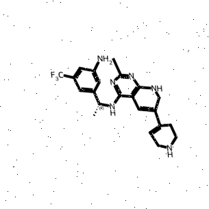 Cc1nc2c(c(N[C@H](C)c3cc(N)cc(C(F)(F)F)c3)n1)C=C(C1=CCNCC1)CN2